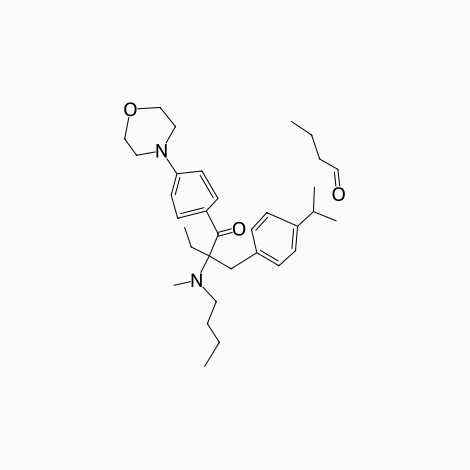 CCCC=O.CCCCN(C)C(CC)(Cc1ccc(C(C)C)cc1)C(=O)c1ccc(N2CCOCC2)cc1